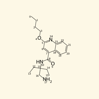 CCCCOc1cc(C(=O)NC(CC)(CC)CN)c2ccccc2n1